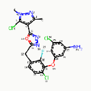 Cc1nn(C)c(Cl)c1-c1nnc(Cc2ccc(Cl)c(Oc3cc(N)cc(Cl)c3)c2F)o1